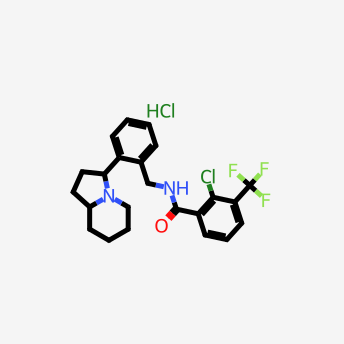 Cl.O=C(NCc1ccccc1C1CCC2CCCCN21)c1cccc(C(F)(F)F)c1Cl